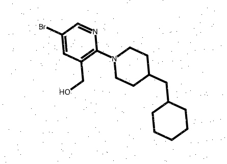 OCc1cc(Br)cnc1N1CCC(CC2CCCCC2)CC1